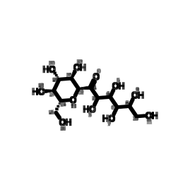 O=C(C(O)C(O)C(O)C(O)CO)[C@H]1O[C@H](CO)[C@@H](O)[C@H](O)[C@H]1O